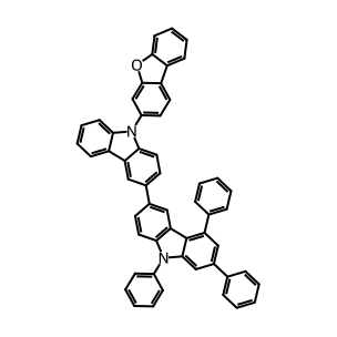 c1ccc(-c2cc(-c3ccccc3)c3c4cc(-c5ccc6c(c5)c5ccccc5n6-c5ccc6c(c5)oc5ccccc56)ccc4n(-c4ccccc4)c3c2)cc1